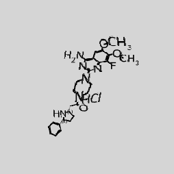 COc1cc2c(N)nc(N3CCN(C(=O)C[C@@H]4CC[C@H](c5ccccc5)N4)CC3)nc2c(F)c1OC.Cl